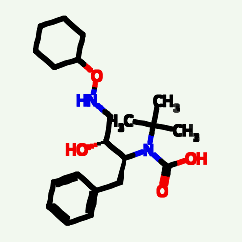 CC(C)(C)N(C(=O)O)[C@@H](Cc1ccccc1)[C@H](O)CNOC1CCCCC1